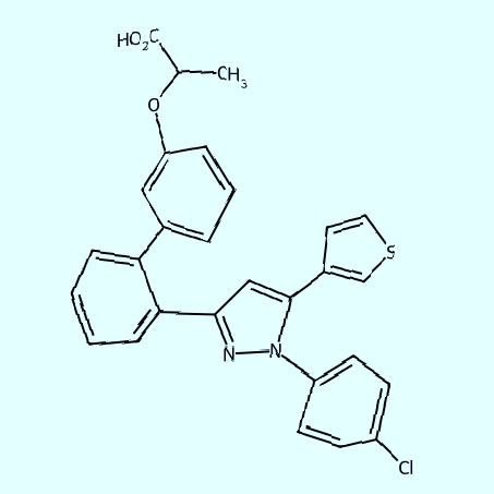 CC(Oc1cccc(-c2ccccc2-c2cc(-c3ccsc3)n(-c3ccc(Cl)cc3)n2)c1)C(=O)O